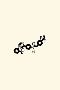 CCC(F)(F)c1ccc(CC(=O)Nc2ccc(-c3nccnc3OC(C)c3ccccc3)cc2)cc1